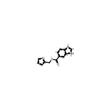 O=C(OCc1cccs1)c1ccc2nc[nH]c2c1